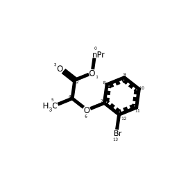 CCCOC(=O)C(C)Oc1ccccc1Br